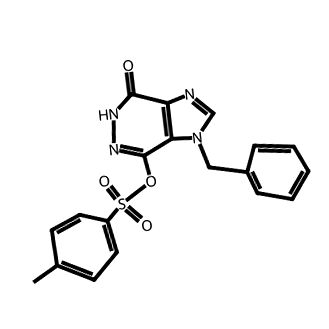 Cc1ccc(S(=O)(=O)Oc2n[nH]c(=O)c3ncn(Cc4ccccc4)c23)cc1